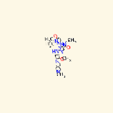 C=CCn1c(=O)c2cnc(Nc3ccc(N4CCC5(CCN(C)CC5)CC4)c(OC)c3)nc2n1-c1ccc(=O)n(C(C)C)n1